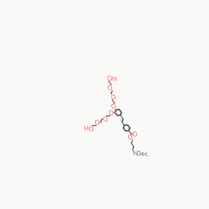 CCCCCCCCCCCCCCOC(=O)c1ccc(/C=C/c2ccc(OCCOCCOCCO)c(OCCOCCOCCO)c2)cc1